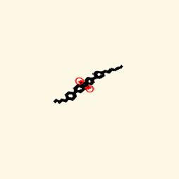 CCCCCCCC1CCC(C2CCC3(CC2)C(=O)C2(CCC(C4CCC(CCCCC)CC4)CC2)C3=O)CC1